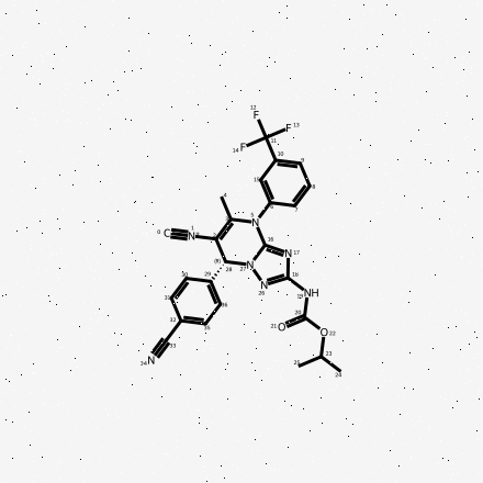 [C-]#[N+]C1=C(C)N(c2cccc(C(F)(F)F)c2)c2nc(NC(=O)OC(C)C)nn2[C@@H]1c1ccc(C#N)cc1